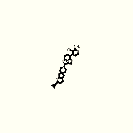 Nc1nccc(-c2ccc3nc(N4CCC5(CC4)Cc4ccc(C6CC6)nc4C5)c4cnc2n34)c1Cl